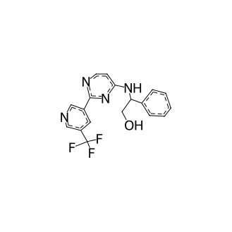 OCC(Nc1ccnc(-c2cncc(C(F)(F)F)c2)n1)c1ccccc1